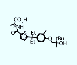 CCC(CC)(c1ccc(OCC(C)(O)C(C)(C)C)c(C)c1)c1ccc(C(=O)N[C@@H](C)C(=O)O)s1